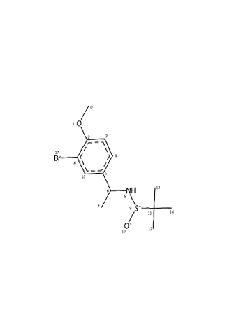 COc1ccc(C(C)N[S+]([O-])C(C)(C)C)cc1Br